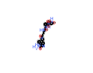 NC(=O)c1cnc2ccc(C3CCN(C(=O)CCCCCNC(=O)CNc4cccc5c4C(=O)N(C4CCC(=O)NC4=O)C5=O)CC3)cc2c1Nc1ccccc1